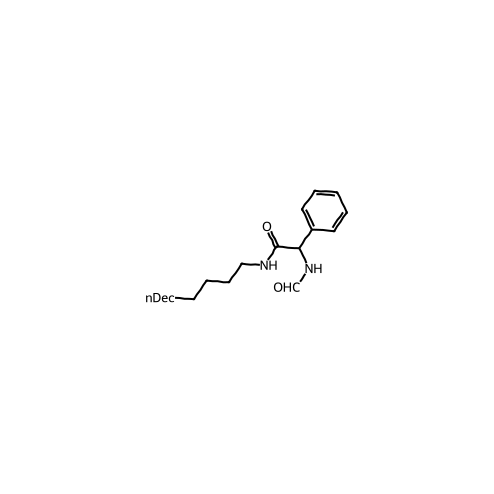 CCCCCCCCCCCCCCNC(=O)C(NC=O)c1ccccc1